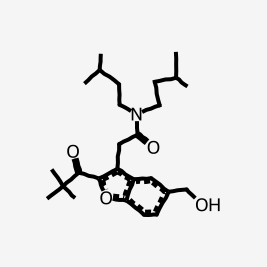 CC(C)CCN(CCC(C)C)C(=O)Cc1c(C(=O)C(C)(C)C)oc2ccc(CO)cc12